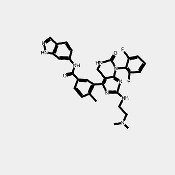 Cc1ccc(C(=O)Nc2ccc3cn[nH]c3c2)cc1-c1nc(NCCN(C)C)nc2c1CNC(=O)N2c1c(F)cccc1F